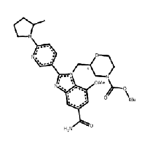 COc1cc(C(N)=O)cc2nc(-c3ccc(N4CCCC4C)nc3)n(C[C@@H]3CN(C(=O)OC(C)(C)C)CCO3)c12